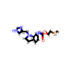 CSCCOC(=O)Nc1ccc2c(c1)N(Cc1c[nH]cn1)CC2